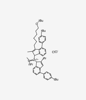 CCC[Si](C)=[Zr+2]([CH]1C(C(C)C)=Cc2c(-c3ccc(C(C)(C)C)cc3)cccc21)[CH]1C(C)=C(CCCCCCOC(C)(C)C)c2c(-c3ccc(C(C)(C)C)cc3)cccc21.[Cl-].[Cl-]